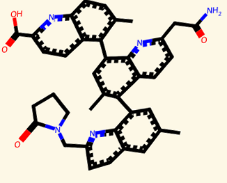 Cc1cc(-c2c(C)cc(-c3c(C)ccc4nc(C(=O)O)ccc34)c3nc(CC(N)=O)ccc23)c2nc(CN3CCCC3=O)ccc2c1